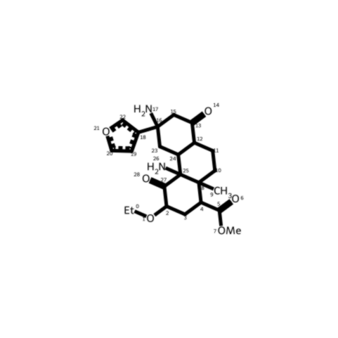 CCOC1CC(C(=O)OC)C2(C)CCC3C(=O)CC(N)(c4ccoc4)CC3C2(N)C1=O